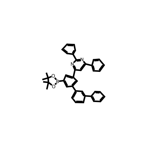 CC1(C)OB(c2cc(-c3cccc(-c4ccccc4)c3)cc(-c3cc(-c4ccccc4)nc(-c4ccccc4)n3)c2)OC1(C)C